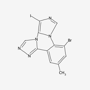 Cc1cc(Br)c2c(c1)c1nncn1c1c(I)ncn21